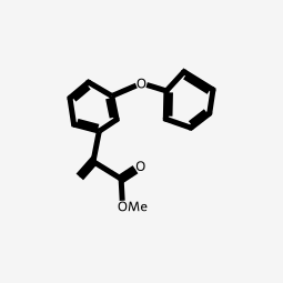 C=C(C(=O)OC)c1cccc(Oc2ccccc2)c1